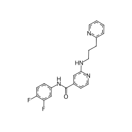 O=C(Nc1ccc(F)c(F)c1)c1ccnc(NCCCc2ccccn2)c1